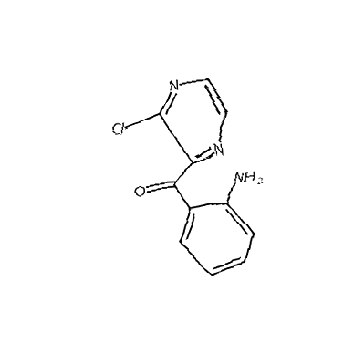 Nc1ccccc1C(=O)c1nccnc1Cl